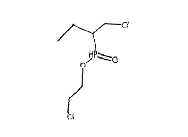 CCC(CCl)[PH](=O)OCCCl